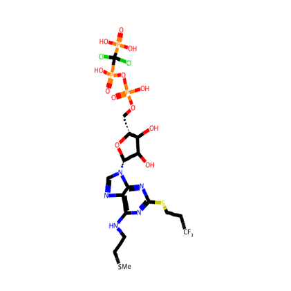 CSCCNc1nc(SCCC(F)(F)F)nc2c1ncn2[C@@H]1O[C@H](COP(=O)(O)OP(=O)(O)C(Cl)(Cl)P(=O)(O)O)C(O)C1O